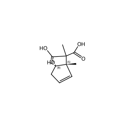 CC(C(=O)O)(C(=O)O)[C@]1(C)C=CC[C@H]1O